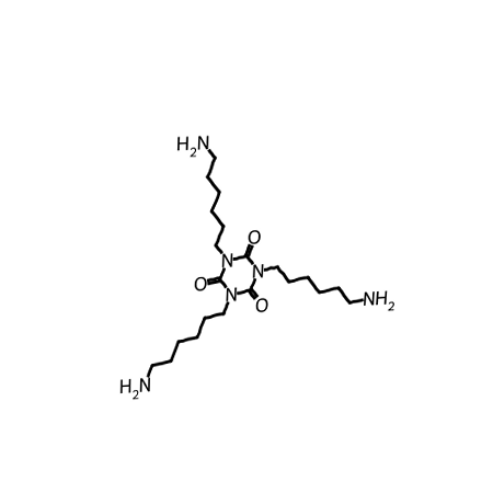 NCCCCCCn1c(=O)n(CCCCCCN)c(=O)n(CCCCCCN)c1=O